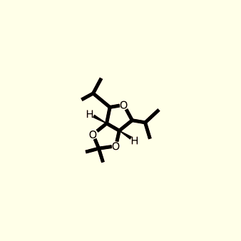 CC(C)C1OC(C(C)C)[C@@H]2OC(C)(C)O[C@H]12